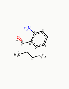 CCCC.Nc1ccccc1C=O